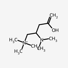 C=C(O)CC(C[N+](C)(C)C)N(C)C